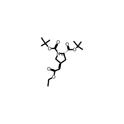 CCOC(=O)C=C1C[C@@H](C(=O)OC(C)(C)C)N(C(=O)OC(C)(C)C)C1